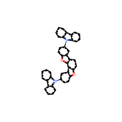 c1ccc2c(c1)c1ccccc1n2-c1ccc2oc3c(ccc4oc5ccc(-n6c7ccccc7c7ccccc76)cc5c43)c2c1